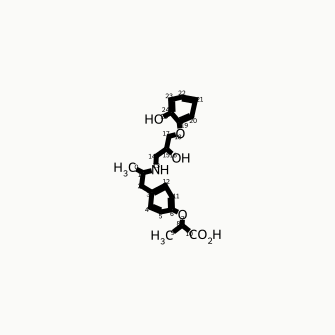 CC(Cc1ccc(OC(C)C(=O)O)cc1)NCC(O)COc1ccccc1O